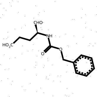 O=[C][C@H](CCC(=O)O)NC(=O)OCc1ccccc1